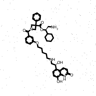 NC[C@H](OC(=O)C1(c2ccccc2)CN(C(=O)c2cccc(OCCCCCNC[C@H](O)c3ccc(O)c4[nH]c(=O)ccc34)c2)C1)C1CCCCC1